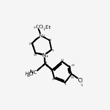 CCOC(=O)N1CCN(C(C#N)c2ccc(Cl)cc2)CC1.Cl